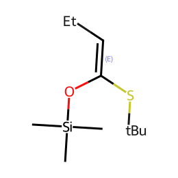 CC/C=C(\O[Si](C)(C)C)SC(C)(C)C